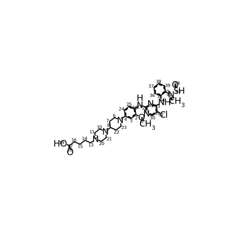 COc1cc(N2CCC(N3CCN(CCCCC(=O)O)CC3)CC2)ccc1Nc1ncc(Cl)c(Nc2ccccc2N(C)[SH]=O)n1